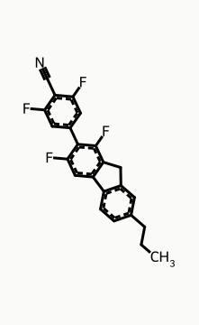 CCCc1ccc2c(c1)Cc1c-2cc(F)c(-c2cc(F)c(C#N)c(F)c2)c1F